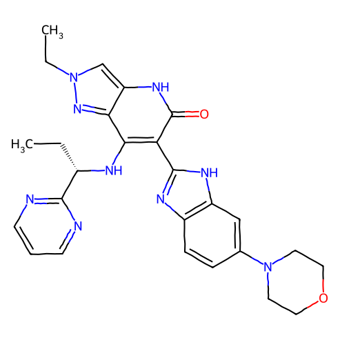 CC[C@H](Nc1c(-c2nc3ccc(N4CCOCC4)cc3[nH]2)c(=O)[nH]c2cn(CC)nc12)c1ncccn1